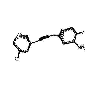 Nc1cc(C#Cc2cncc(Cl)c2)ccc1F